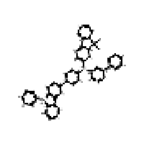 CC1(C)c2ccccc2C2=CC=C(N(c3ccc(-c4ccc5c(c4)c4ccccc4n5-c4ccccc4)cc3)c3cccc(-c4ccccc4)c3)CC21